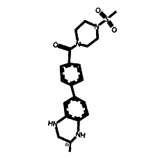 C[C@H]1CNc2cc(-c3ccc(C(=O)N4CCN(S(C)(=O)=O)CC4)cc3)ccc2N1